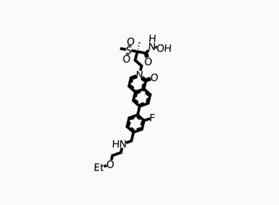 CCOCCNCc1ccc(-c2ccc3c(=O)n(CC[C@](C)(C(=O)NO)S(C)(=O)=O)ccc3c2)c(F)c1